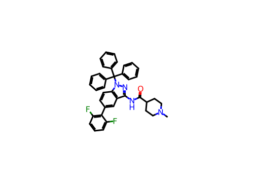 CN1CCC(C(=O)Nc2nn(C(c3ccccc3)(c3ccccc3)c3ccccc3)c3ccc(-c4c(F)cccc4F)cc23)CC1